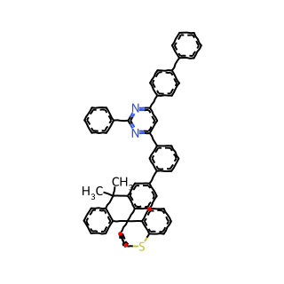 CC1(C)c2ccccc2C2(c3ccccc3Sc3ccccc32)c2ccc(-c3cccc(-c4cc(-c5ccc(-c6ccccc6)cc5)nc(-c5ccccc5)n4)c3)cc21